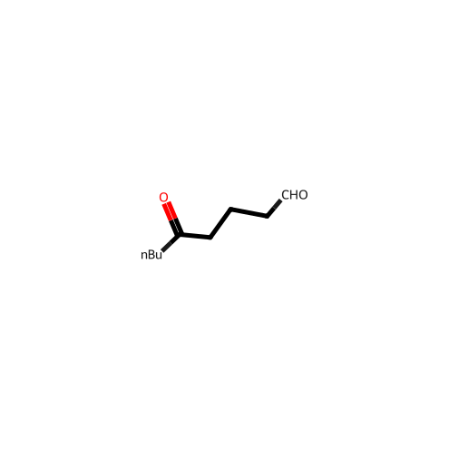 CCCCC(=O)CCCC=O